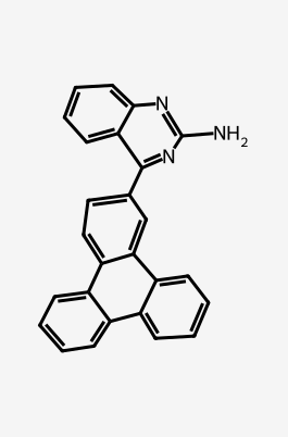 Nc1nc(-c2ccc3c4ccccc4c4ccccc4c3c2)c2ccccc2n1